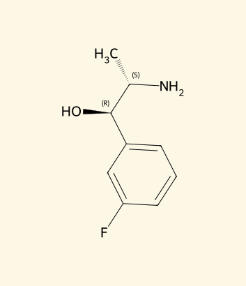 C[C@H](N)[C@H](O)c1cccc(F)c1